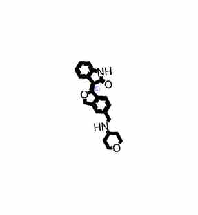 O=C1Nc2ccccc2/C1=C1\OCc2cc(CNC3CCOCC3)ccc21